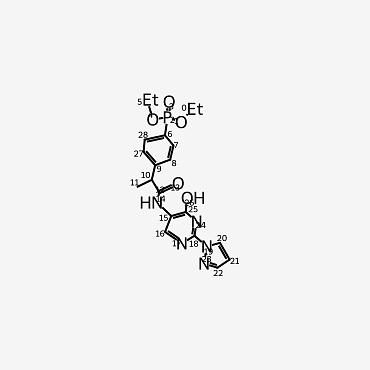 CCOP(=O)(OCC)c1ccc(C(C)C(=O)Nc2cnc(-n3cccn3)nc2O)cc1